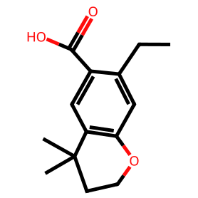 CCc1cc2c(cc1C(=O)O)C(C)(C)CCO2